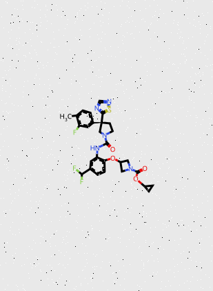 Cc1ccc([C@@]2(c3ncns3)CCN(C(=O)Nc3cc(C(F)F)ccc3OC3CN(C(=O)OC4CC4)C3)C2)cc1F